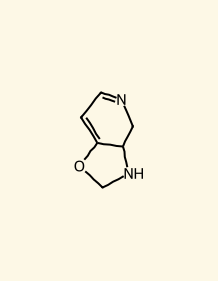 C1=NCC2NCOC2=C1